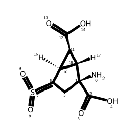 N[C@@]1(C(=O)O)CC(=S(=O)=O)[C@H]2[C@@H](C(=O)O)[C@@H]21